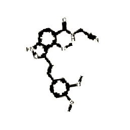 COc1ccc(C=Cc2n[nH]c3ccc(C(=O)NCC#N)c(OC)c23)cc1OC